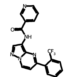 O=C(Nc1cnn2ccc(-c3ccccc3C(F)(F)F)nc12)c1cccnc1